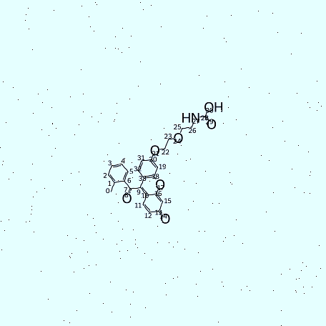 Cc1ccccc1C(=O)c1c2ccc(=O)cc-2oc2cc(OCCOCCNC(=O)O)ccc12